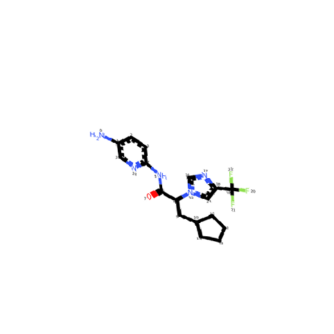 Nc1ccc(NC(=O)C(CC2CCCC2)n2cnc(C(F)(F)F)c2)nc1